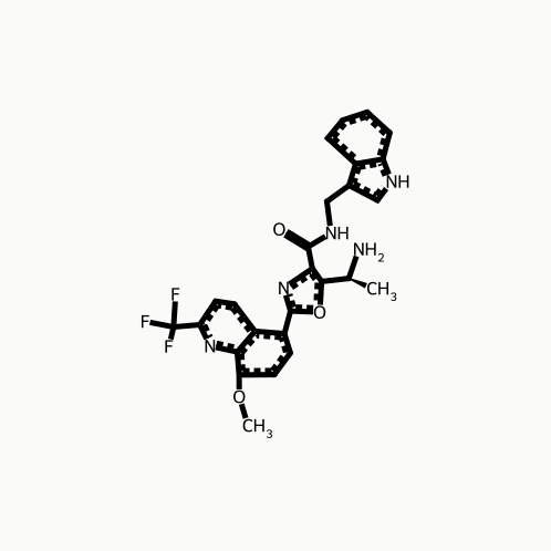 COc1ccc(-c2nc(C(=O)NCc3c[nH]c4ccccc34)c([C@H](C)N)o2)c2ccc(C(F)(F)F)nc12